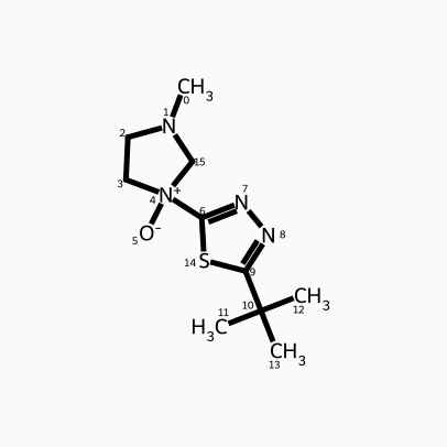 CN1CC[N+]([O-])(c2nnc(C(C)(C)C)s2)C1